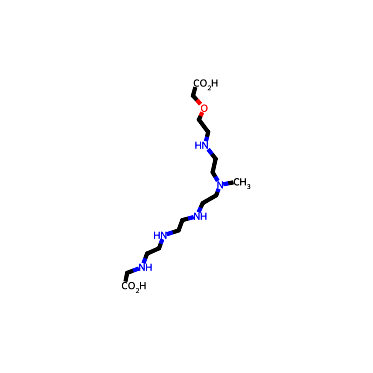 CN(CCNCCNCCNCC(=O)O)CCNCCOCC(=O)O